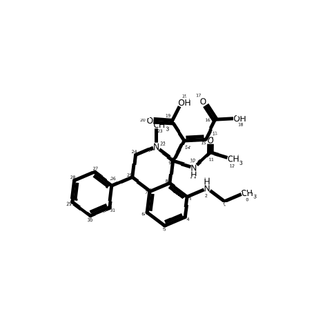 CCNc1cccc2c1C(NC(C)=O)(C(=CC(=O)O)C(=O)O)N(C)CC2c1ccccc1